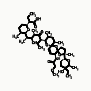 CCC(C(=O)[C@@H](C)[C@@H](O)[C@H](C)[C@@H]1O[C@@H](C(CC)C(=O)O)CC[C@@H]1C)[C@H]1O[C@]2(C=C[C@@H](NC(=O)COC)[C@]3(CC[C@@](C)([C@H]4CC[C@](O)(CC)[C@H](C)O4)O3)O2)[C@H](C)C[C@@H]1C